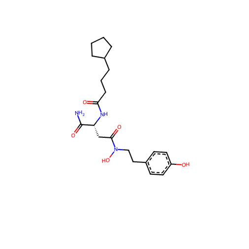 NC(=O)[C@@H](CC(=O)N(O)CCc1ccc(O)cc1)NC(=O)CCCC1CCCC1